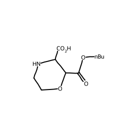 CCCCOC(=O)C1OCCNC1C(=O)O